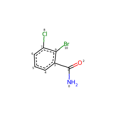 NC(=O)c1cccc(Cl)c1Br